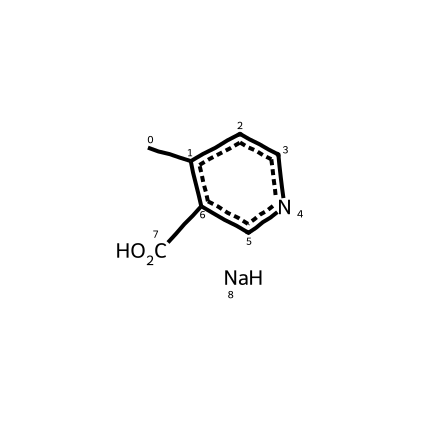 Cc1ccncc1C(=O)O.[NaH]